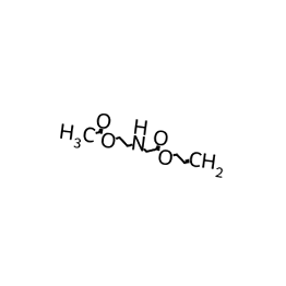 C=CCOC(=O)CNCCOC(C)=O